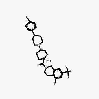 C[C@]1(C(=O)N2CCc3c(F)cc(C(F)(F)F)cc3C2)CC[C@@H](N2CCC(c3ccc(F)cc3)CC2)CO1